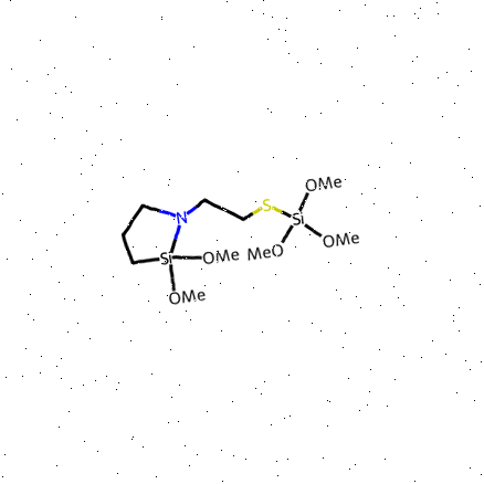 CO[Si](OC)(OC)SCCN1CCC[Si]1(OC)OC